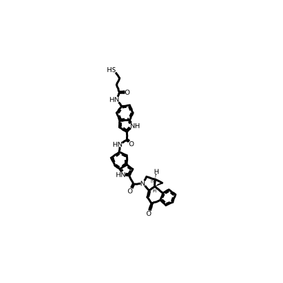 O=C(CCS)Nc1ccc2[nH]c(C(=O)Nc3ccc4[nH]c(C(=O)N5C[C@H]6C[C@@]67C5=CC(=O)c5ccccc57)cc4c3)cc2c1